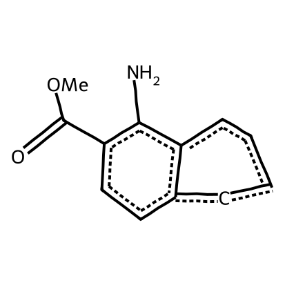 COC(=O)c1ccc2ccccc2c1N